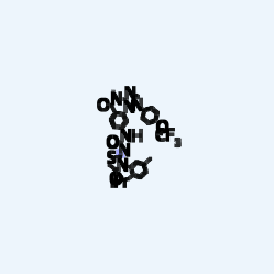 Cc1ccc(C(C)C)c(N2C(=O)CS/C2=N\C(=O)Nc2ccc(C(=O)N(C)c3ncn(-c4ccc(OC(F)(F)F)cc4)n3)cc2)c1